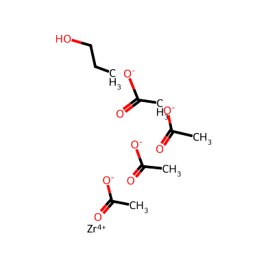 CC(=O)[O-].CC(=O)[O-].CC(=O)[O-].CC(=O)[O-].CCCO.[Zr+4]